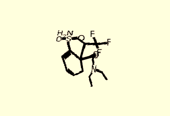 CCN(CC)C(=O)C1(C(C)C(F)(F)F)CC=CC=C1S(N)(=O)=O